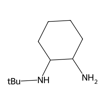 CC(C)(C)NC1CCCCC1N